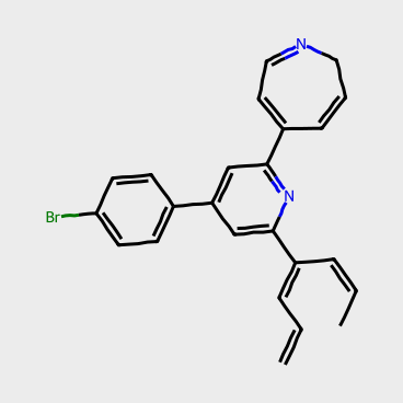 C=C/C=C(\C=C/C)c1cc(-c2ccc(Br)cc2)cc(C2=CC=NCC=C2)n1